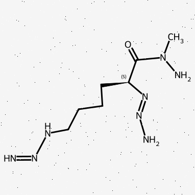 CN(N)C(=O)[C@H](CCCCNN=N)N=NN